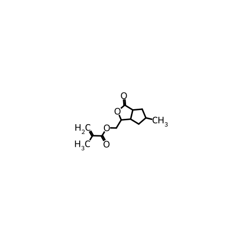 C=C(C)C(=O)OCC1OC(=O)C2CC(C)CC12